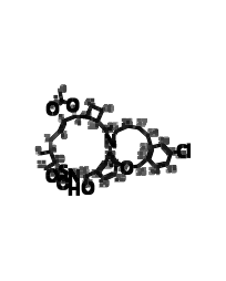 CC(=O)O[C@H]1/C=C/CC(C)C(C)S(=O)(=O)NC(=O)c2ccc3c(c2)N(CCCCc2cc(Cl)ccc2CO3)CC2CCC21